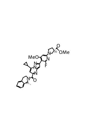 COC(=O)[C@H]1CCN(c2cc(OC)c(-c3cc4nc(C(=O)N5CCc6ccccc6[C@H]5C)cc(C5CC5)n4n3)c(F)n2)C1